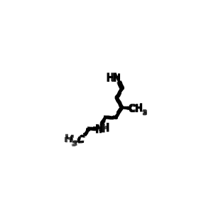 CCNCC[C@H](C)CC=N